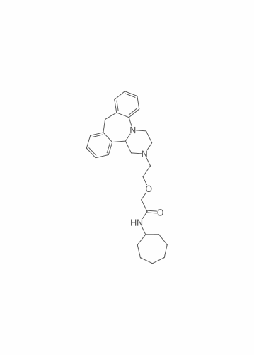 O=C(COCCN1CCN2c3ccccc3Cc3ccccc3C2C1)NC1CCCCCC1